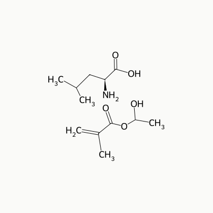 C=C(C)C(=O)OC(C)O.CC(C)C[C@H](N)C(=O)O